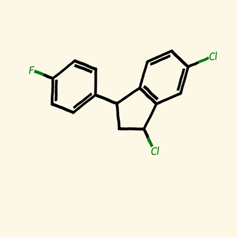 Fc1ccc(C2CC(Cl)c3cc(Cl)ccc32)cc1